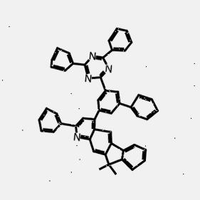 CC1(C)c2ccccc2-c2cc3c(-c4cc(-c5ccccc5)cc(-c5nc(-c6ccccc6)nc(-c6ccccc6)n5)c4)cc(-c4ccccc4)nc3cc21